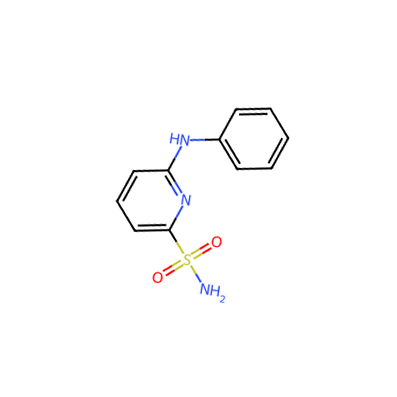 NS(=O)(=O)c1cccc(Nc2ccccc2)n1